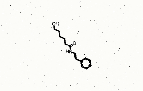 O=C(CCCCCO)NC=Cc1ccccc1